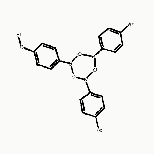 CCOc1ccc(B2OB(c3ccc(C(C)=O)cc3)OB(c3ccc(C(C)=O)cc3)O2)cc1